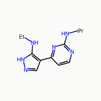 CCNc1[nH]ncc1-c1ccnc(NC(C)C)n1